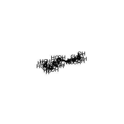 CC1O[C@H](O[C@@H]2C(CO)O[C@H](O[C@@H]3C(CO)O[C@@H](OCCCc4cn(C[C@H]5O[C@@](CCl)(O[C@H]6O[C@H](CO)[C@H](Cl)[C@H](O)[C@H]6O)[C@@H](O)[C@@H]5O)nn4)C(O)[C@H]3O)C(O)[C@H]2O)C(O)[C@@H](O)[C@@H]1N[C@H]1C=C(CO)[C@@H](O)[C@H](O)[C@H]1O